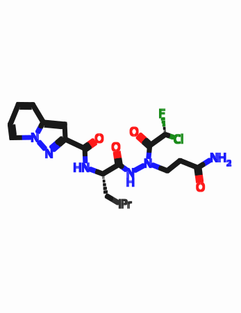 CC(C)C[C@H](NC(=O)c1cc2ccccn2n1)C(=O)NN(CCC(N)=O)C(=O)[C@H](F)Cl